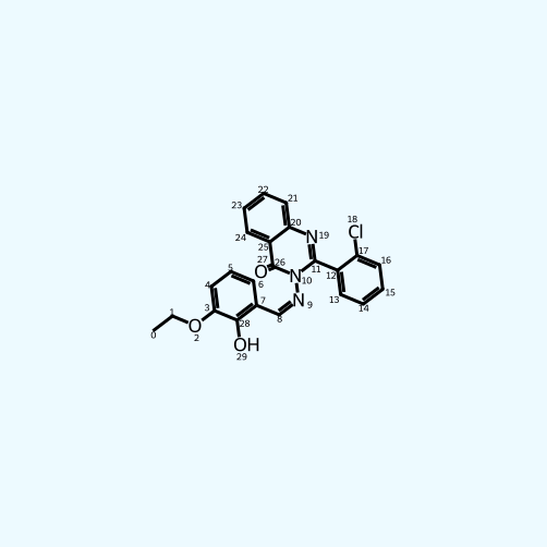 CCOc1cccc(/C=N\n2c(-c3ccccc3Cl)nc3ccccc3c2=O)c1O